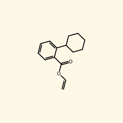 C=COC(=O)c1ccccc1C1CCCCC1